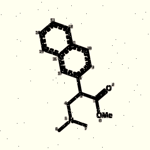 COC(=O)C(CN(C)C)c1ccc2ccccc2c1